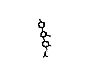 Cc1ccc(-c2ccc(-c3ccc(OC=C(F)F)c(F)c3)c(F)c2)cc1